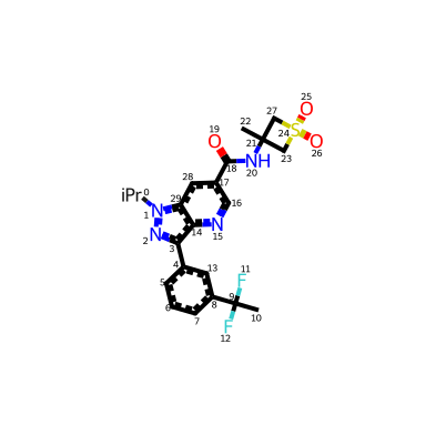 CC(C)n1nc(-c2cccc(C(C)(F)F)c2)c2ncc(C(=O)NC3(C)CS(=O)(=O)C3)cc21